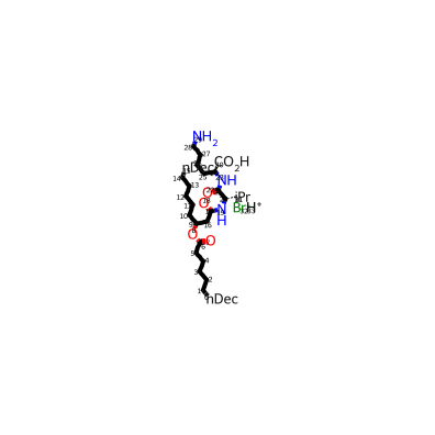 CCCCCCCCCCCCCCCC(=O)OC(CCCCCCCCCCCCCCC)CC(=O)N[C@H](C(=O)N[C@@H](CCCCN)C(=O)O)C(C)C.[Br-].[H+]